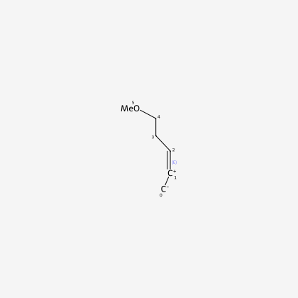 [CH2-]/[C+]=C/CC[OH+][CH2-]